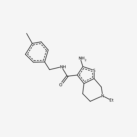 CCN1CCc2c(sc(N)c2C(=O)NCc2ccc(C)cc2)C1